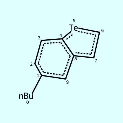 CCCCc1ccc2[te]ccc2c1